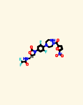 O=C(NC[C@H]1CN(c2cc(F)c(N3CCNN(C(=O)c4ccc([N+](=O)[O-])o4)CC3)c(F)c2)C(=O)O1)C(F)F